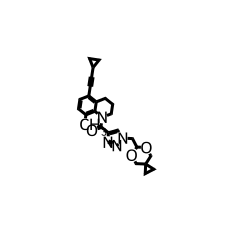 Cc1ccc(C#CC2CC2)c2c1N(C(=O)c1cn(CC3OCC4(CC4)CO3)nn1)CCC2